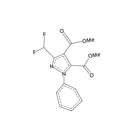 COC(=O)c1c(C(F)F)nn(-c2ccccc2)c1C(=O)OC